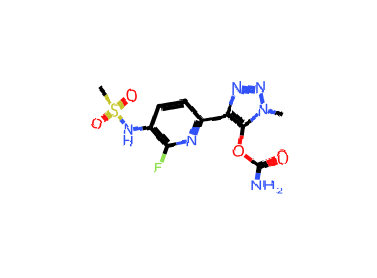 Cn1nnc(-c2ccc(NS(C)(=O)=O)c(F)n2)c1OC(N)=O